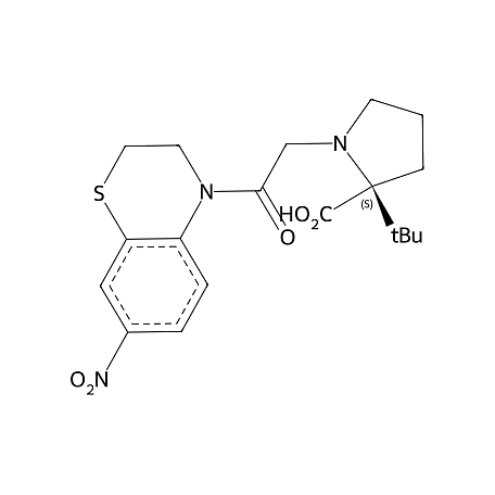 CC(C)(C)[C@]1(C(=O)O)CCCN1CC(=O)N1CCSc2cc([N+](=O)[O-])ccc21